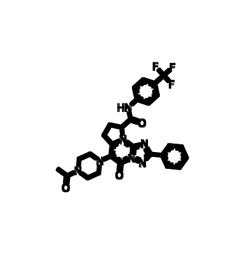 CC(=O)N1CCN(c2c3n(c4nc(-c5ccccc5)nn4c2=O)C(C(=O)Nc2ccc(C(F)(F)F)cc2)CC3)CC1